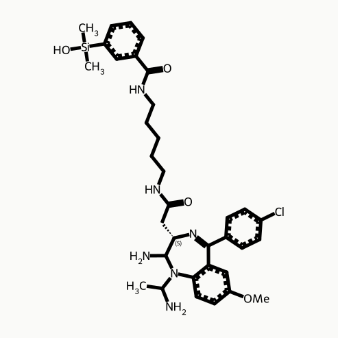 COc1ccc2c(c1)C(c1ccc(Cl)cc1)=N[C@@H](CC(=O)NCCCCCNC(=O)c1cccc([Si](C)(C)O)c1)C(N)N2C(C)N